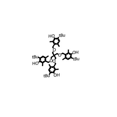 Cc1cc(C(C)(C)C)c(O)c(C)c1COCC(COCc1c(C)cc(C(C)(C)C)c(O)c1C)(COCc1c(C)cc(C(C)(C)C)c(O)c1C)COCc1c(C)cc(C(C)(C)C)c(O)c1C